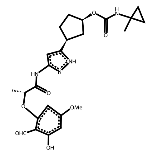 COc1cc(O)c(C=O)c(O[C@H](C)C(=O)Nc2cc([C@H]3CC[C@@H](OC(=O)NC4(C)CC4)C3)[nH]n2)c1